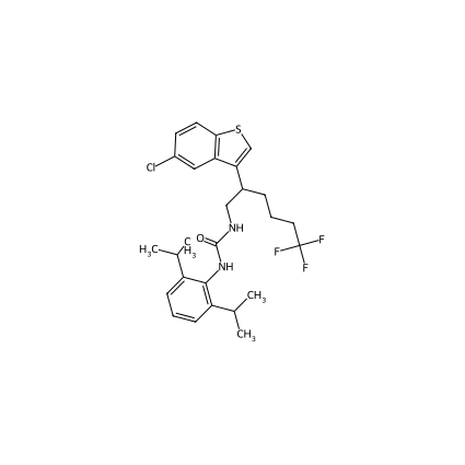 CC(C)c1cccc(C(C)C)c1NC(=O)NCC(CCCC(F)(F)F)c1csc2ccc(Cl)cc12